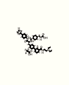 CCN(CC)CCNC(=O)c1cccc(-c2ccc(C[C@H](NC(=O)[C@H]3CC[C@H](CNC(=O)O)CC3)C(=O)Nc3ccc(-c4nn[nH]n4)cc3)cc2)c1F.O=C(O)C(F)(F)F